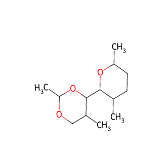 CC1CCC(C)C(C2OC(C)OCC2C)O1